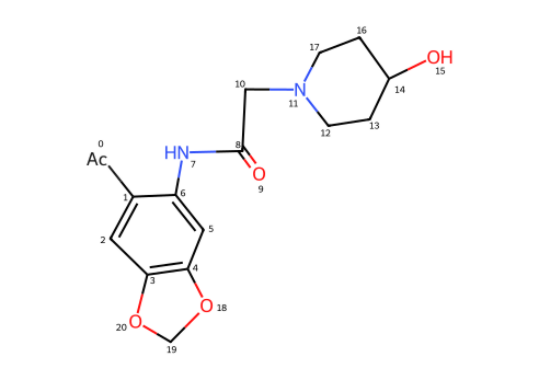 CC(=O)c1cc2c(cc1NC(=O)CN1CCC(O)CC1)OCO2